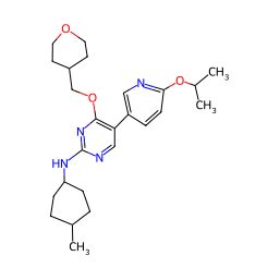 CC1CCC(Nc2ncc(-c3ccc(OC(C)C)nc3)c(OCC3CCOCC3)n2)CC1